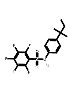 CCC(C)(C)c1ccc(OS(=O)(=O)c2c(F)c(F)c(F)c(F)c2F)cc1.I